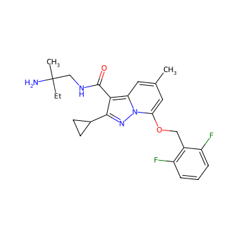 CCC(C)(N)CNC(=O)c1c(C2CC2)nn2c(OCc3c(F)cccc3F)cc(C)cc12